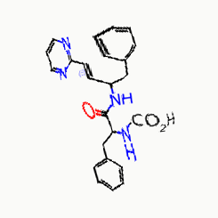 O=C(O)NC(Cc1ccccc1)C(=O)NC(/C=C/c1ncccn1)Cc1ccccc1